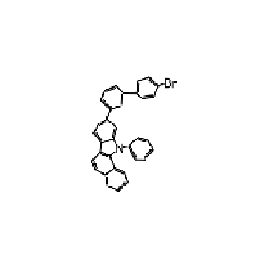 Brc1ccc(-c2cccc(-c3ccc4c5ccc6ccccc6c5n(-c5ccccc5)c4c3)c2)cc1